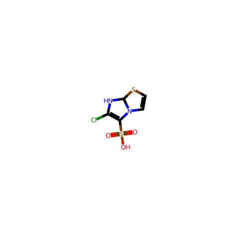 O=S(=O)(O)C1=C(Cl)NC2SC=CN12